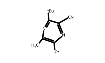 Cc1nc(C(C)(C)C)c(C#N)nc1C(C)C